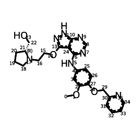 COc1cc(Nc2ncnc3[nH]nc(OCCN4CCC[C@@H]4CO)c23)ccc1OCc1ccccn1